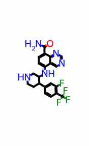 NC(=O)c1ccc(NC2CNCCC2c2ccc(C(F)(F)F)c(F)c2)c2cncnc12